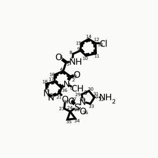 Cn1c(=O)c(C(=O)NCc2ccc(Cl)cc2)cc2cnnc(OCC3(S(=O)(=O)N4CC[C@H](N)C4)CC3)c21